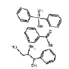 NC(CO)C(O)c1ccccc1.O=C(O)c1ccccc1.O[PH](O)(c1ccccc1)c1ccccc1